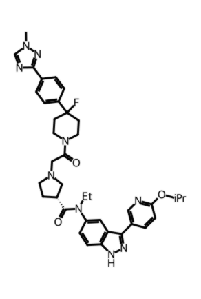 CCN(C(=O)[C@@H]1CCN(CC(=O)N2CCC(F)(c3ccc(-c4ncn(C)n4)cc3)CC2)C1)c1ccc2[nH]nc(-c3ccc(OC(C)C)nc3)c2c1